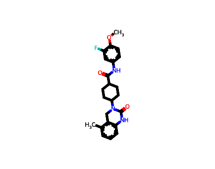 COc1ccc(NC(=O)C2CCC(N3Cc4c(C)cccc4NC3=O)CC2)cc1F